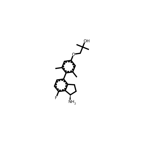 Cc1cc(OCC(C)(C)O)cc(C)c1-c1ccc(F)c2c1CC[C@H]2N